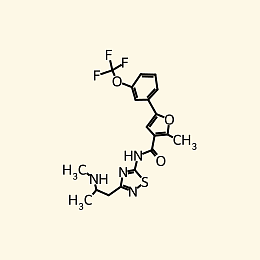 CNC(C)Cc1nsc(NC(=O)c2cc(-c3cccc(OC(F)(F)F)c3)oc2C)n1